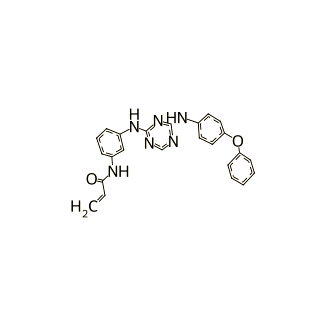 C=CC(=O)Nc1cccc(Nc2ncnc(Nc3ccc(Oc4ccccc4)cc3)n2)c1